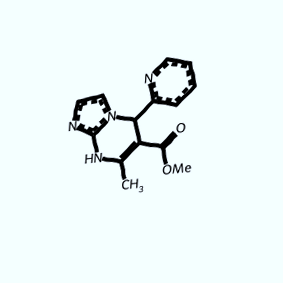 COC(=O)C1=C(C)Nc2nccn2C1c1ccccn1